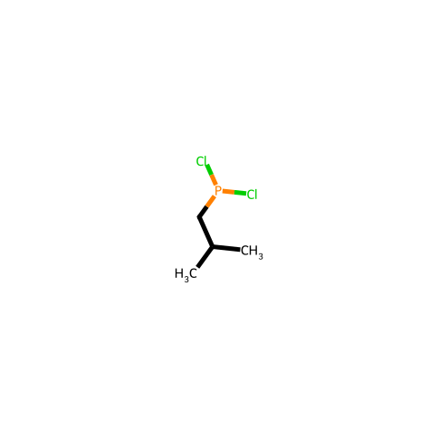 CC(C)CP(Cl)Cl